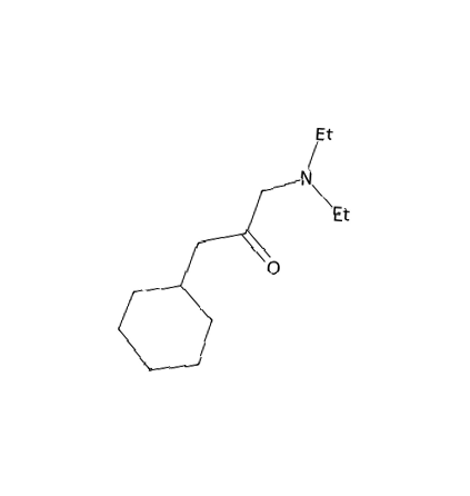 CCN(CC)CC(=O)CC1CCCCC1